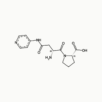 N[C@H](CC(=O)Nc1ccncc1)C(=O)N1CCC[C@H]1C(=O)O